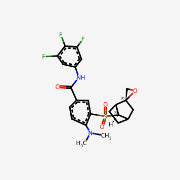 CN(C)c1ccc(C(=O)Nc2cc(F)c(F)c(F)c2)cc1S(=O)(=O)[C@@H]1C2CCC1[C@@]1(CO1)C2